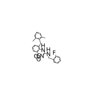 Cc1cccc(C)c1Cc1cccc2c1NC(NCc1ccccc1F)=NS2(=O)=O